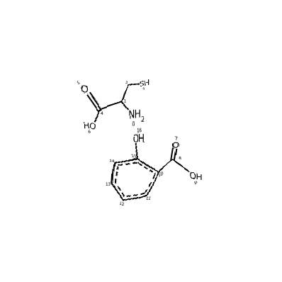 NC(CS)C(=O)O.O=C(O)c1ccccc1O